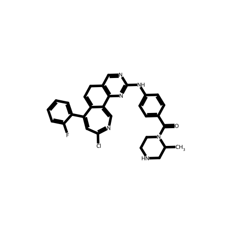 CC1CNCCN1C(=O)c1ccc(Nc2ncc3c(n2)C2=CN=C(Cl)C=C(c4ccccc4F)C2=CC3)cc1